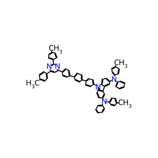 Cc1ccc(-c2cc(-c3ccc(-c4ccc(-c5ccc(-n6c7ccc(N(c8ccccc8)c8ccc(C)cc8)cc7c7cc(N(c8ccccc8)c8ccc(C)cc8)ccc76)cc5)cc4)cc3)nc(-c3ccc(C)cc3)n2)cc1